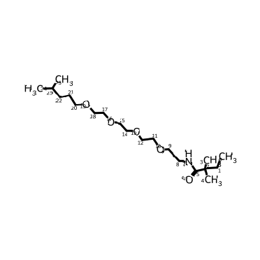 CCC(C)(C)C(=O)NCCOCCOCCOCCOCCCC(C)C